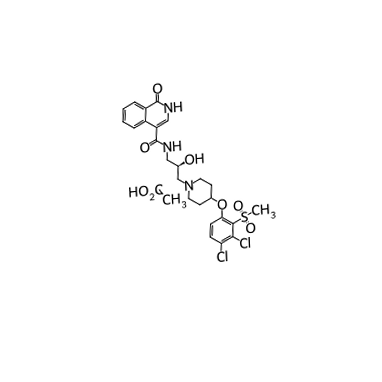 CC(=O)O.CS(=O)(=O)c1c(OC2CCN(C[C@H](O)CNC(=O)c3c[nH]c(=O)c4ccccc34)CC2)ccc(Cl)c1Cl